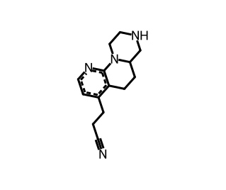 N#CCCc1ccnc2c1CCC1CNCCN21